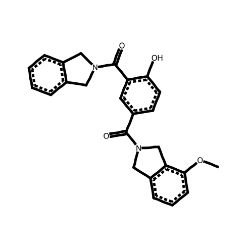 COc1cccc2c1CN(C(=O)c1ccc(O)c(C(=O)N3Cc4ccccc4C3)c1)C2